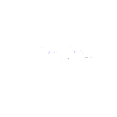 CCCN(C)CC(C)CNCC